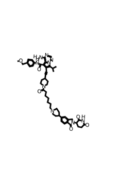 COCc1ccc(NC(=O)c2c(C#CC3CCN(C(=O)CCCCCCN4CCC(c5ccc6c(c5)CN(C5CCC(=O)NC5=O)C6=O)CC4)CC3)c(C(C)C)n3ncnc(N)c23)cc1